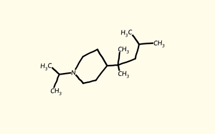 CC(C)CC(C)(C)C1CCN(C(C)C)CC1